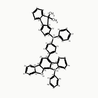 CC1(C)c2ccccc2-c2ccc(N(c3ccccc3)c3ccc(-c4cc5c6ccccc6oc5c5c4c4ccccc4n5-c4ccccc4)cc3)cc21